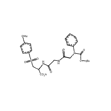 COc1ccc(S(=O)(=O)CC(NC(=O)CNC(=O)CN(C(=O)OC(C)(C)C)c2ccccc2)C(=O)O)cc1